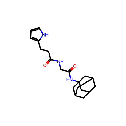 O=C(CCc1ccc[nH]1)NCC(=O)NC12CC3CC(CC(C3)C1)C2